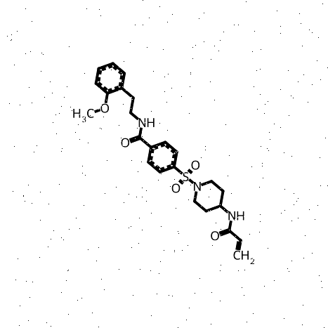 C=CC(=O)NC1CCN(S(=O)(=O)c2ccc(C(=O)NCCc3ccccc3OC)cc2)CC1